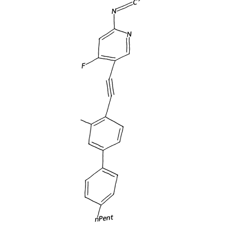 CCCCCc1ccc(-c2ccc(C#Cc3cnc(N=C=S)cc3F)c(C)c2)cc1